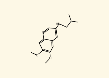 COc1cc2cc(NCC(C)C)cnc2cc1OC